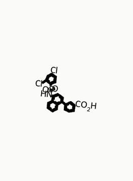 O=C(O)c1cccc(-c2ccc(NS(=O)(=O)c3ccc(Cl)cc3Cl)c3ccccc23)c1